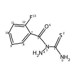 NC(=S)N(N)C(=O)c1ccccc1F